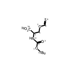 CC(C)(C)OC(=O)NC(COC=S)C(=O)O